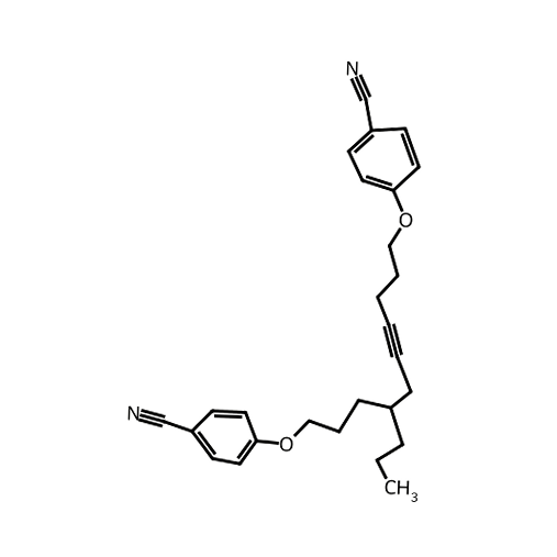 CCCC(CC#CCCCOc1ccc(C#N)cc1)CCCOc1ccc(C#N)cc1